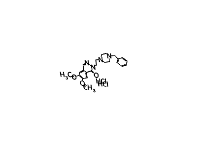 COc1cc2cnn(CCN3CCN(Cc4ccccc4)CC3)c(=O)c2cc1OC.Cl.Cl